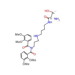 COc1cccc(C(=O)N(CCCNCCCCNC(=O)[C@@H](N)[C@@H](C)O)C(=O)c2cccc(OC)c2OC)c1OC